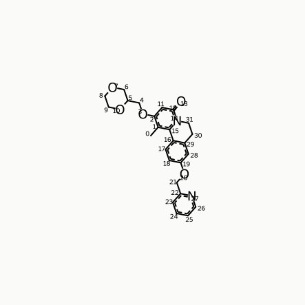 Cc1c(OCC2COCCO2)cc(=O)n2c1-c1ccc(OCc3ccccn3)cc1CC2